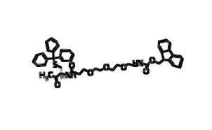 CC(=O)[C@H](CSC(c1ccccc1)(c1ccccc1)c1ccccc1)NC(=O)CCOCCOCCOCCNC(=O)OCC1c2ccccc2-c2ccccc21